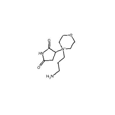 NCCC[N+]1(C2CC(=O)NC2=O)CCOCC1